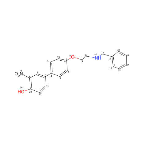 O=[N+]([O-])c1cc(-c2ccc(OCCNCc3ccccc3)cc2)ccc1O